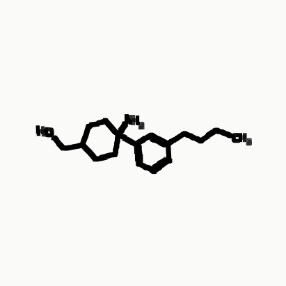 CCCCc1cccc(C2(N)CCC(CO)CC2)c1